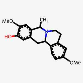 COc1ccc2c(c1)CCN1C(C)c3cc(OC)c(O)cc3CC21